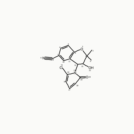 CC1(C)Oc2ccc(C#N)cc2C(n2c(Cl)cccc2=O)C1O